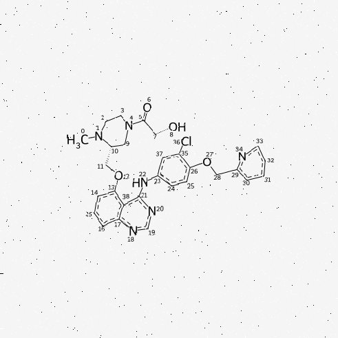 CN1CCN(C(=O)CO)C[C@@H]1COc1cccc2ncnc(Nc3ccc(OCc4ccccn4)c(Cl)c3)c12